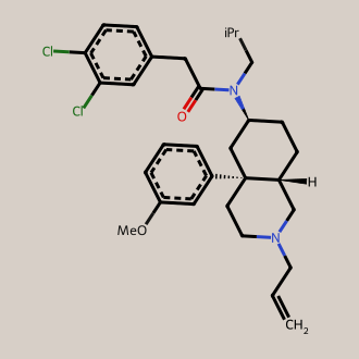 C=CCN1CC[C@@]2(c3cccc(OC)c3)C[C@@H](N(CC(C)C)C(=O)Cc3ccc(Cl)c(Cl)c3)CC[C@@H]2C1